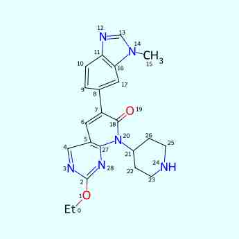 CCOc1ncc2cc(-c3ccc4ncn(C)c4c3)c(=O)n(C3CCNCC3)c2n1